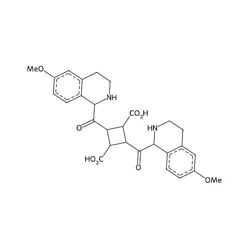 COc1ccc2c(c1)CCNC2C(=O)C1C(C(=O)O)C(C(=O)C2NCCc3cc(OC)ccc32)C1C(=O)O